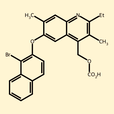 CCc1nc2cc(C)c(Oc3ccc4ccccc4c3Br)cc2c(COC(=O)O)c1C